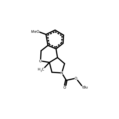 COc1cccc2c1COC1(C)CN(C(=O)OC(C)(C)C)CC21